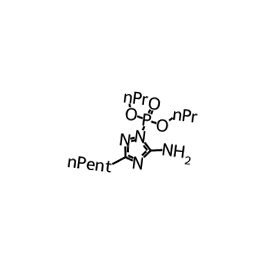 CCCCCc1nc(N)n(P(=O)(OCCC)OCCC)n1